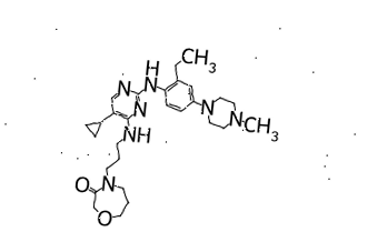 CCc1cc(N2CCN(C)CC2)ccc1Nc1ncc(C2CC2)c(NCCCN2CCCOCC2=O)n1